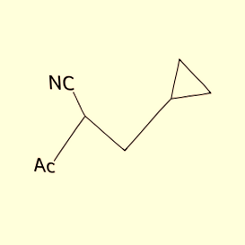 CC(=O)C(C#N)CC1CC1